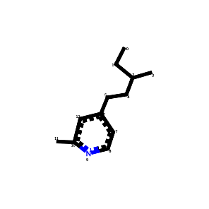 CCC(C)CCc1ccnc(C)c1